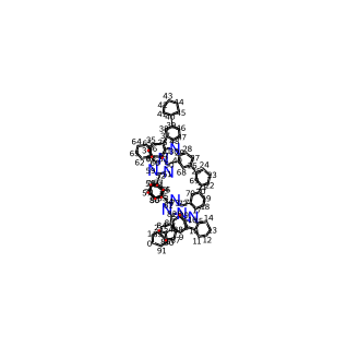 c1ccc(-c2ccc3c(c2)c2ccccc2n3-c2ccc(-c3cccc(-c4ccc(-n5c6ccccc6c6cc(-c7ccccc7)ccc65)c(-c5nc(-c6ccccc6)nc(-c6ccccc6)n5)c4)c3)cc2-c2nc(-c3ccccc3)nc(-c3ccccc3)n2)cc1